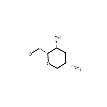 N[C@@H]1CO[C@H](CO)[C@H](O)C1